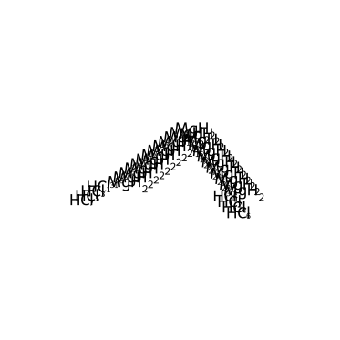 Cl.Cl.Cl.Cl.Cl.Cl.Cl.Cl.[MgH2].[MgH2].[MgH2].[MgH2].[MgH2].[MgH2].[MgH2].[MgH2].[MgH2].[MgH2].[MgH2].[MgH2].[MgH2].[MgH2].[MgH2].[MgH2].[MgH2].[MgH2].[MgH2].[MgH2].[MgH2].[MgH2].[MgH2].[MgH2]